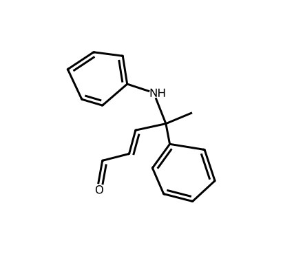 CC(C=CC=O)(Nc1ccccc1)c1ccccc1